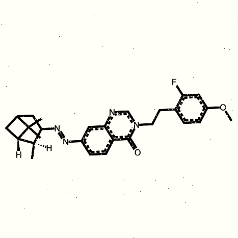 COc1ccc(CCn2cnc3cc(N=NC4CC5C[C@@H]([C@@H]4C)C5(C)C)ccc3c2=O)c(F)c1